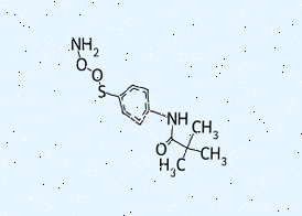 CC(C)(C)C(=O)Nc1ccc(SOON)cc1